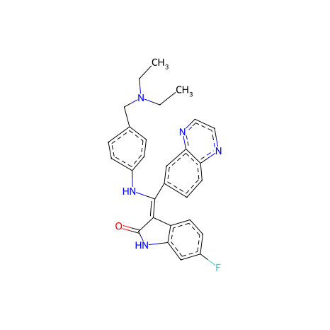 CCN(CC)Cc1ccc(N/C(=C2\C(=O)Nc3cc(F)ccc32)c2ccc3nccnc3c2)cc1